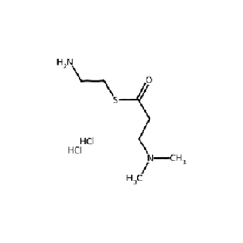 CN(C)CCC(=O)SCCN.Cl.Cl